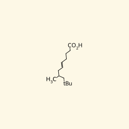 CC(CC=CCCCC(=O)O)CC(C)(C)C